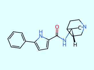 O=C(N[C@H]1CN2CCC1CC2)c1ccc(-c2ccccc2)[nH]1